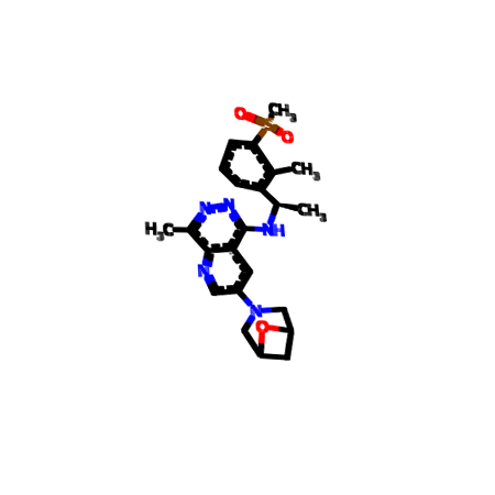 Cc1c([C@@H](C)Nc2nnc(C)c3ncc(N4CC5CC(C4)O5)cc23)cccc1S(C)(=O)=O